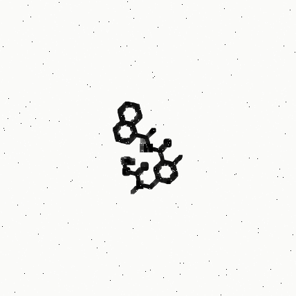 Cc1ccc(CN(C)C(=O)OC(C)(C)C)cc1C(=O)N[C@H](C)c1cccc2ccccc12